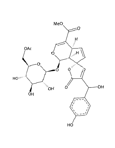 COC(=O)C1=CO[C@H](O[C@@H]2O[C@H](COC(C)=O)[C@@H](O)[C@H](O)[C@H]2O)[C@H]2[C@@H]1C=C[C@@]21C=C(C(O)c2ccc(O)cc2)C(=O)O1